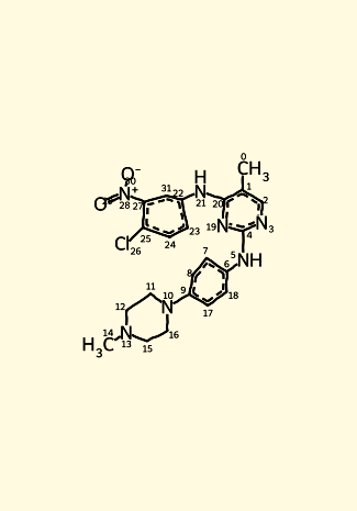 Cc1cnc(Nc2ccc(N3CCN(C)CC3)cc2)nc1Nc1ccc(Cl)c([N+](=O)[O-])c1